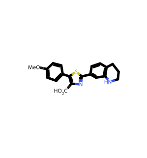 COc1ccc(-c2sc(-c3ccc4c(c3)NCCC4)nc2C(=O)O)cc1